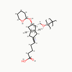 CC(C)(C)[Si](C)(C)OC[C@@H]1[C@H]2C/C(=C/CCCC(=O)O)C[C@H]2C[C@H]1OC1CCCCO1